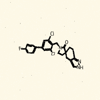 O=C1N(Cc2c(Cl)cc(-c3ccc(F)cc3)cc2Cl)CCC12CCc1n[nH]cc1C2